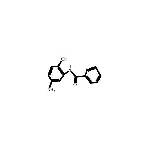 Nc1ccc(O)c(NC(=O)c2cc[c]cc2)c1